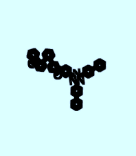 c1ccc(-c2ccc(-c3nc(-c4ccc(-c5ccccc5)cc4)nc(-c4ccc5c(c4)oc4ccc(-c6ccccc6-c6cccc7oc8ccccc8c67)cc45)n3)cc2)cc1